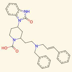 O=C(O)N1CCC(n2c(=O)[nH]c3ccccc32)CC1CCN(C/C=C/c1ccccc1)Cc1ccccc1